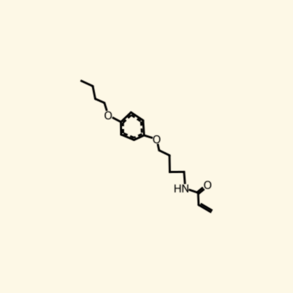 C=CC(=O)NCCCCOc1ccc(OCCCC)cc1